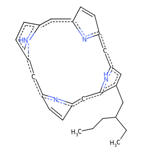 CCCC(CC)Cc1cc2cc3nc(cc4ccc(cc5nc(cc1[nH]2)C=C5)[nH]4)C=C3